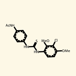 COc1ccc(NC(=S)Nc2ccc(NC(C)=O)cc2)c(OC)c1Cl